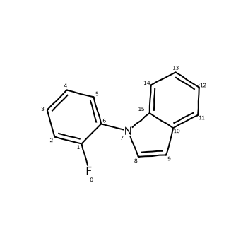 Fc1ccccc1-n1ccc2c[c]ccc21